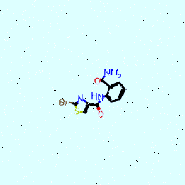 NC(=O)c1ccccc1NC(=O)c1csc(Br)n1